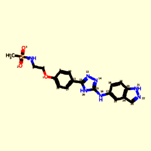 CS(=O)(=O)NCCOc1ccc(-c2nnc(Nc3ccc4[nH]ncc4c3)[nH]2)cc1